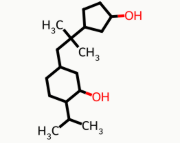 CC(C)C1CCC(CC(C)(C)C2CCC(O)C2)CC1O